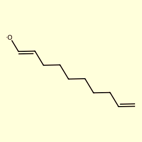 C=CCCCCCCC=C[O]